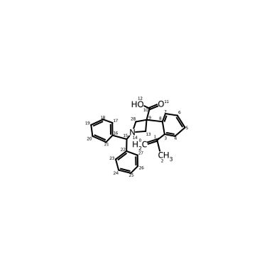 C=C(C)c1ccccc1C1(C(=O)O)CN(C(c2ccccc2)c2ccccc2)C1